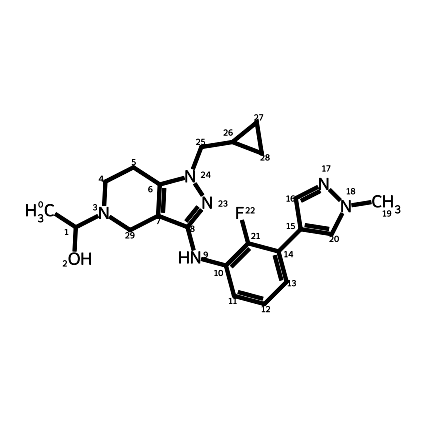 CC(O)N1CCc2c(c(Nc3cccc(-c4cnn(C)c4)c3F)nn2CC2CC2)C1